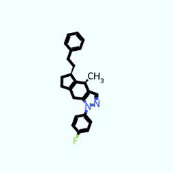 C[C@@H]1C2=C(CC[C@H]2CCc2ccccc2)Cc2c1cnn2-c1ccc(F)cc1